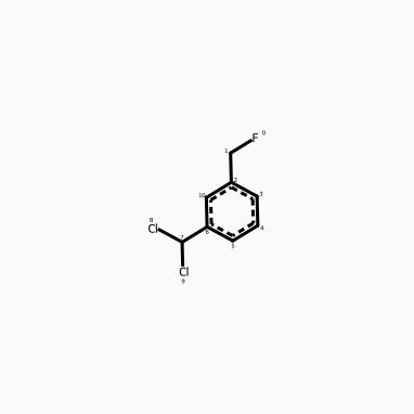 FCc1cccc(C(Cl)Cl)c1